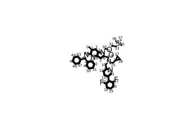 Cc1cc2c(cc(C(=O)N(Cc3ccc(-c4c(F)cccc4F)cn3)CC3CC3)n2COCC[Si](C)(C)C)nc1N=C(c1ccccc1)c1ccccc1